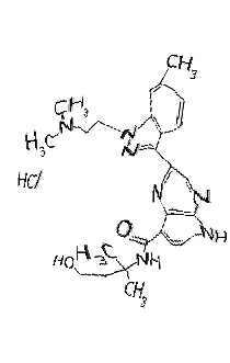 Cc1ccc2c(-c3cnc4[nH]cc(C(=O)NC(C)(C)CO)c4n3)nn(CCN(C)C)c2c1.Cl